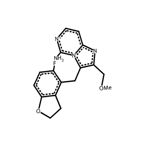 COCc1nc2ccnc(N)n2c1Cc1c(F)ccc2c1CCO2